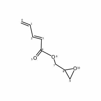 C=CC=CC(=O)OCC1CO1